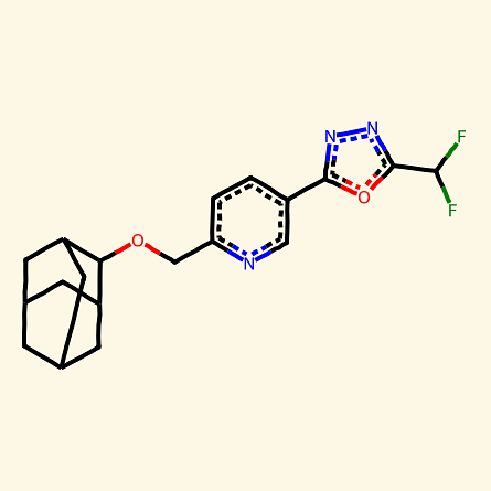 FC(F)c1nnc(-c2ccc(COC3C4CC5CC(C4)CC3C5)nc2)o1